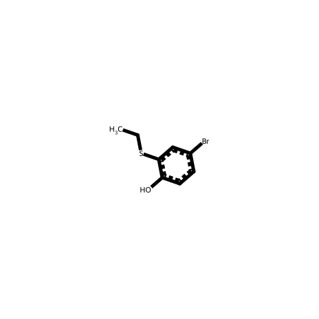 CCSc1cc(Br)ccc1O